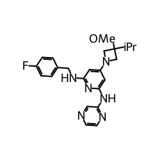 COC1(C(C)C)CN(c2cc(NCc3ccc(F)cc3)nc(Nc3cnccn3)c2)C1